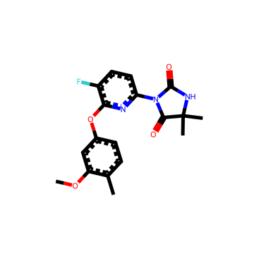 COc1cc(Oc2nc(N3C(=O)NC(C)(C)C3=O)ccc2F)ccc1C